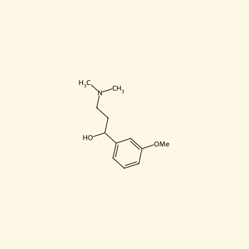 COc1cccc(C(O)CCN(C)C)c1